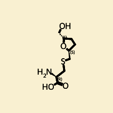 N[C@@H](CSC[C@@H]1CC[C@@H](CO)O1)C(=O)O